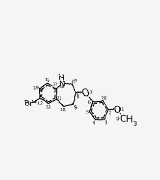 COc1cccc(OC2CCc3cc(Br)ccc3NC2)c1